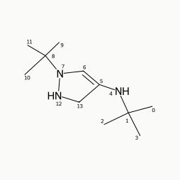 CC(C)(C)NC1=CN(C(C)(C)C)NC1